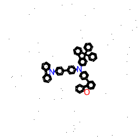 c1ccc(C2(c3ccccc3)c3ccccc3-c3cc(N(c4ccc(-c5ccc(-n6c7ccccc7c7ccccc76)cc5)cc4)c4ccc(-c5cccc6oc7ccccc7c56)cc4)ccc32)cc1